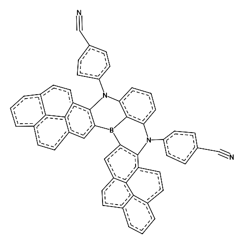 N#Cc1ccc(N2c3cccc4c3B(c3cc5ccc6cccc7ccc(c32)c5c67)c2cc3ccc5cccc6ccc(c2N4c2ccc(C#N)cc2)c3c56)cc1